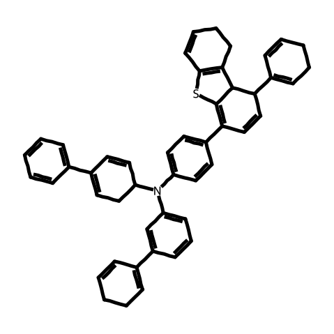 C1=CC(c2cccc(N(c3ccc(C4=C5SC6=C(CCC=C6)C5C(C5=CCCC=C5)C=C4)cc3)C3C=CC(c4ccccc4)=CC3)c2)=CCC1